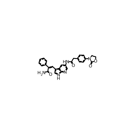 NC(=O)C(=Cc1c[nH]c2ncc(NC(=O)Cc3ccc(N4CCOC4=O)cc3)cc12)c1ccccc1